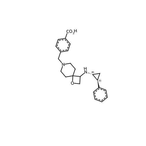 O=C(O)c1ccc(CN2CCC3(CC2)OCC3N[C@@H]2C[C@H]2c2ccccc2)cc1